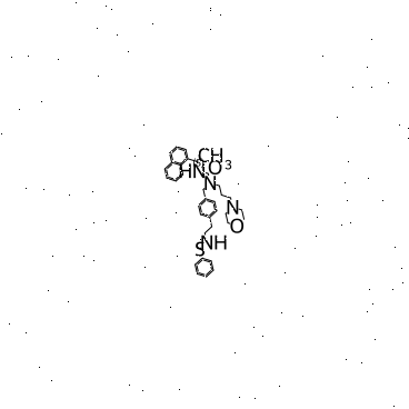 C[C@H](NC(=O)N(CCCN1CCOCC1)Cc1ccc(CCNSc2ccccc2)cc1)c1cccc2ccccc12